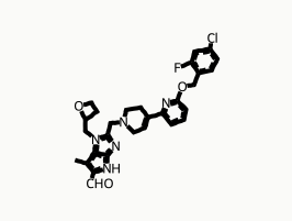 Cc1c(C=O)[nH]c2nc(CN3CC=C(c4cccc(OCc5ccc(Cl)cc5F)n4)CC3)n(CC3CCO3)c12